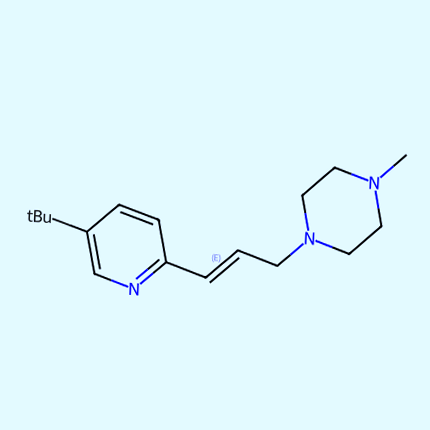 CN1CCN(C/C=C/c2ccc(C(C)(C)C)cn2)CC1